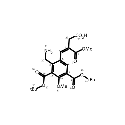 COC(=O)C(=Cc1cc(C(=O)OC(C)(C)C)c(OC)c(C(=O)OC(C)(C)C)c1CN)CC(=O)O